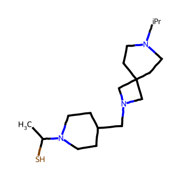 CC(C)N1CCC2(CC1)CN(CC1CCN(C(C)S)CC1)C2